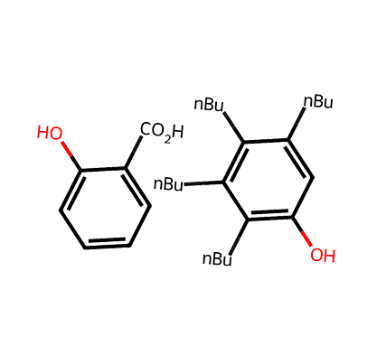 CCCCc1cc(O)c(CCCC)c(CCCC)c1CCCC.O=C(O)c1ccccc1O